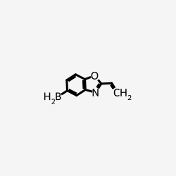 Bc1ccc2oc(C=C)nc2c1